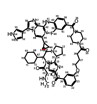 CN[C@@H](C)C(=O)NC(C(=O)N1CCC[C@H]1c1nc(C(=O)c2cccc(OCCCC(=O)N3CCN(C(=O)c4ccc(Nc5nc(C6CC6)cn6c(-c7cn[nH]c7)cnc56)c(F)c4)CC3)c2)cs1)C1CCCCC1